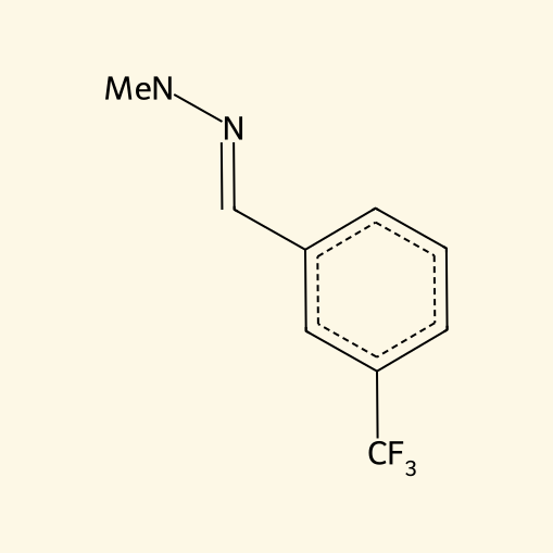 CN/N=C/c1cccc(C(F)(F)F)c1